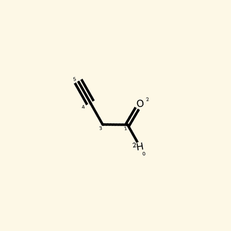 [2H]C(=O)CC#C